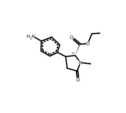 CCOC(=O)[C@H]1C(c2ccc(N)cc2)CC(=O)N1C